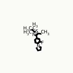 CCc1sc(C(C)(C)C)nc1-c1ccc(N2CCCC2)c(F)c1